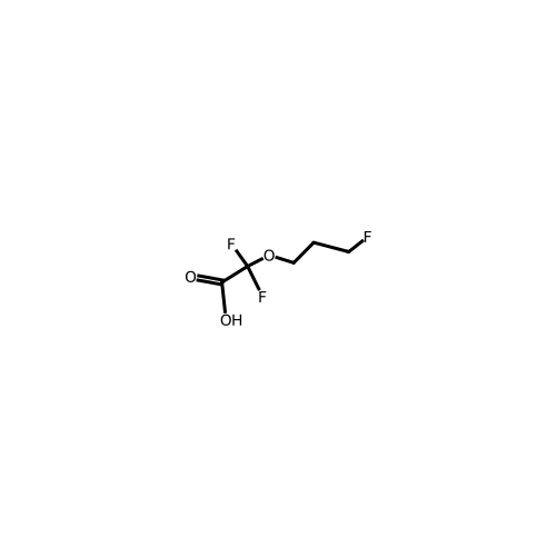 O=C(O)C(F)(F)OCCCF